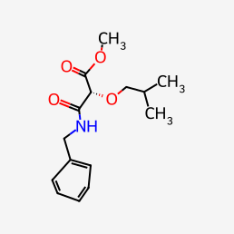 COC(=O)[C@H](OCC(C)C)C(=O)NCc1ccccc1